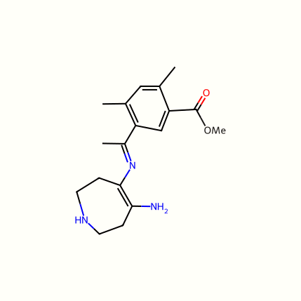 COC(=O)c1cc(/C(C)=N/C2=C(N)CCNCC2)c(C)cc1C